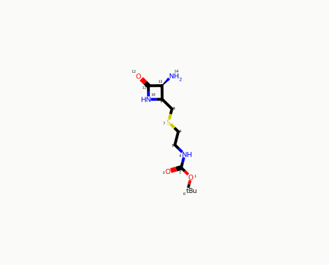 CC(C)(C)OC(=O)NCCSCC1NC(=O)[C@H]1N